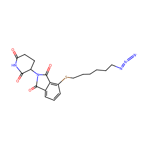 [N-]=[N+]=NCCCCCCSc1cccc2c1C(=O)N(C1CCC(=O)NC1=O)C2=O